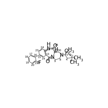 CC(C)(C)CC(=O)N1CCN2C(=O)c3cc(-c4ccccc4F)ccc3NC(=O)[C@H]2C1